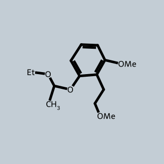 CCOC(C)Oc1cccc(OC)c1CCOC